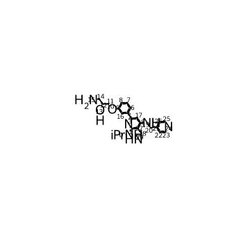 CC(C)Nc1nc(-c2cccc(OCC(O)CN)c2)cc(NCc2ccncc2)c1C=N